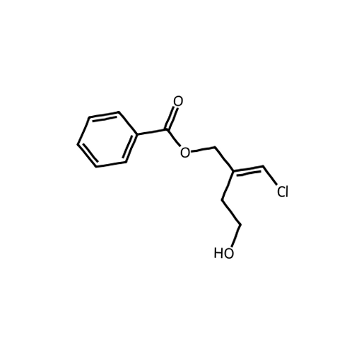 O=C(OC/C(=C/Cl)CCO)c1ccccc1